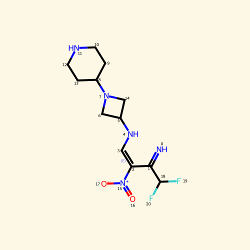 N=C(/C(=C\NC1CN(C2CCNCC2)C1)[N+](=O)[O-])C(F)F